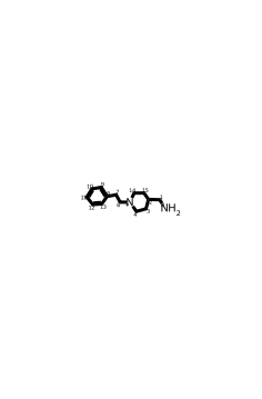 NCC1CCN(CCc2ccccc2)CC1